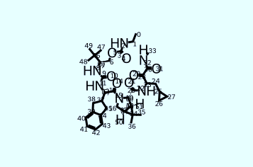 CCNC(=O)OC[C@@H](NC(=O)N[C@H](C(=O)N1C[C@H]2[C@@H]([C@H]1C(=O)NC(CC1CC1)C(=O)C(=O)NC)C2(C)C)C1Cc2ccccc2C1)C(C)(C)C